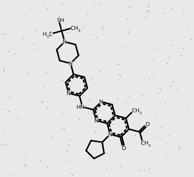 CC(=O)c1c(C)c2cnc(Nc3ccc(N4CCN(C(C)(C)S)CC4)cn3)nc2n(C2CCCC2)c1=O